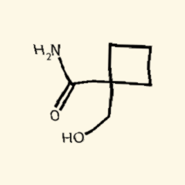 NC(=O)C1(CO)CCC1